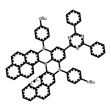 CCCCc1ccc(N2c3cc(-c4nc(-c5ccccc5)nc(-c5ccccc5)n4)cc4c3B(c3c2cc2ccc5cccc6ccc3c2c56)c2c(cc3ccc5cccc6ccc2c3c56)N4c2ccc(CCCC)cc2)cc1